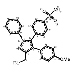 COc1ccc(-c2c(CC(F)(F)F)nn(-c3ccccc3)c2-c2ccc(S(N)(=O)=O)cc2)cc1